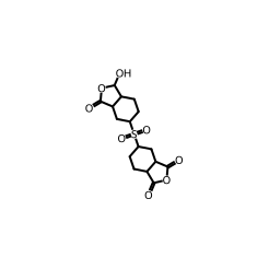 O=C1OC(=O)C2CC(S(=O)(=O)C3CCC4C(O)OC(=O)C4C3)CCC12